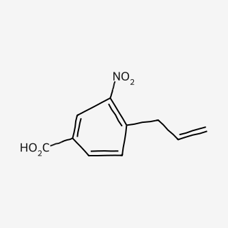 C=CCc1ccc(C(=O)O)cc1[N+](=O)[O-]